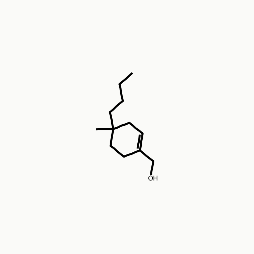 CCCCC1(C)CC=C(CO)CC1